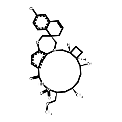 COC[C@@H]1C[C@H](C)CC[C@H](O)[C@@H]2CC[C@H]2CN2C[C@@]3(CC=Cc4cc(Cl)ccc43)COc3ccc(cc32)C(=O)NS1(=O)=O